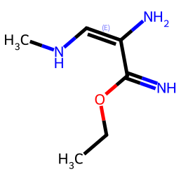 CCOC(=N)/C(N)=C\NC